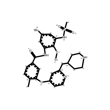 CCOc1c(NC(=O)c2ccc(C)c(Oc3ccnc(CC4CCNCC4)c3)c2)cc(C(C)(C)C)cc1NS(C)(=O)=O